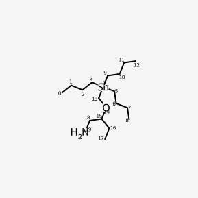 CCC[CH2][Sn]([CH2]CCC)([CH2]CCC)[CH2]OC(CC)CN